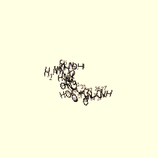 Nc1nc(/C(=N/O)C(=O)N[C@@H]2C(=O)N3C(C(=O)O)=C(C=C4CCN(CC5CCNC5)C4=O)CS[C@H]23)cs1